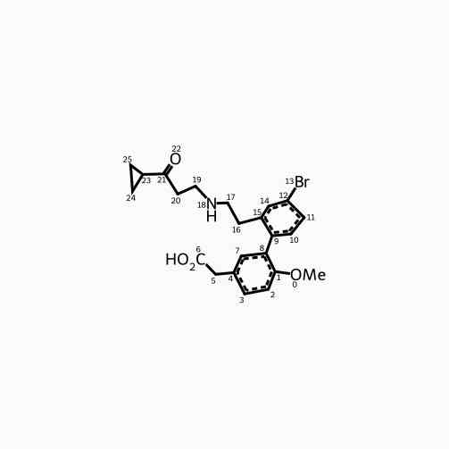 COc1ccc(CC(=O)O)cc1-c1ccc(Br)cc1CCNCCC(=O)C1CC1